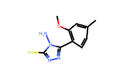 COc1cc(C)ccc1-c1nnc(S)n1N